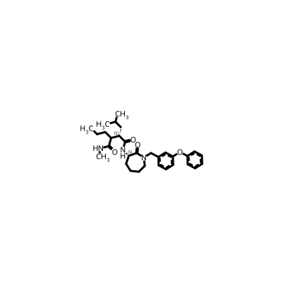 CCCC(C(=O)NC)[C@H](CC(C)C)C(=O)N[C@H]1CCCCN(Cc2cccc(Oc3ccccc3)c2)C1=O